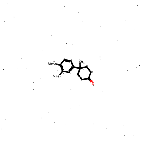 CSc1ccc(C2(C)CCC(=O)CC2)cc1SC